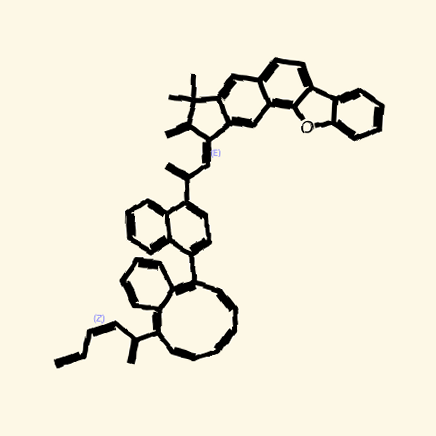 C=C/C=C\C(=C)c1ccccccc(-c2ccc(C(=C)/C=C3\C(=C)C(C)(C)c4cc5ccc6c7ccccc7oc6c5cc43)c3ccccc23)c2ccccc12